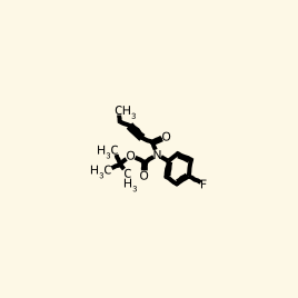 CCC#CC(=O)N(C(=O)OC(C)(C)C)c1ccc(F)cc1